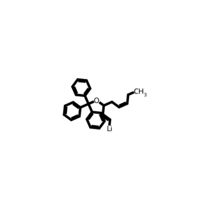 [Li]/[CH]=C/C(C/C=C\CC)OC(c1ccccc1)(c1ccccc1)c1ccccc1